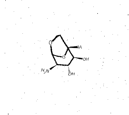 N[C@H]1C2OC[C@@H](O2)[C@@H](O)[C@@H]1O